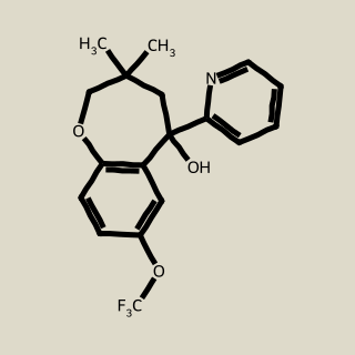 CC1(C)COc2ccc(OC(F)(F)F)cc2C(O)(c2ccccn2)C1